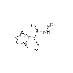 CNC(=O)c1cccn2ccnc12